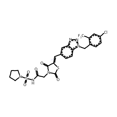 O=C(CN1C(=O)S/C(=C\c2ccc3c(c2)nnn3Cc2ccc(Cl)cc2C(F)(F)F)C1=O)NS(=O)(=O)N1CCCC1